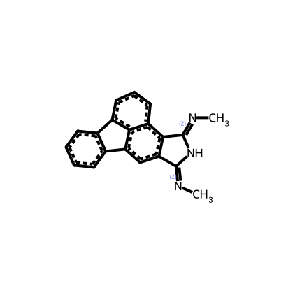 C/N=C1\N/C(=N\C)c2c1cc1c3c(cccc23)-c2ccccc2-1